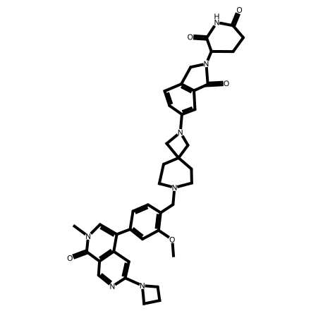 COc1cc(-c2cn(C)c(=O)c3cnc(N4CCC4)cc23)ccc1CN1CCC2(CC1)CN(c1ccc3c(c1)C(=O)N(C1CCC(=O)NC1=O)C3)C2